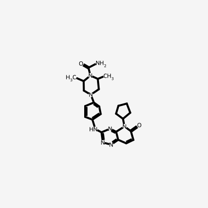 CC1CN(c2ccc(Nc3nnc4ccc(=O)n(C5CCCC5)c4n3)cc2)CC(C)N1C(N)=O